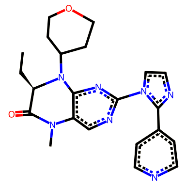 CC[C@@H]1C(=O)N(C)c2cnc(-n3ccnc3-c3ccncc3)nc2N1C1CCOCC1